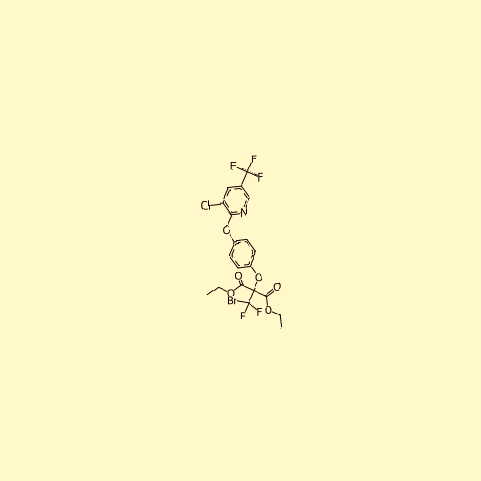 CCOC(=O)C(Oc1ccc(Oc2ncc(C(F)(F)F)cc2Cl)cc1)(C(=O)OCC)C(F)(F)Br